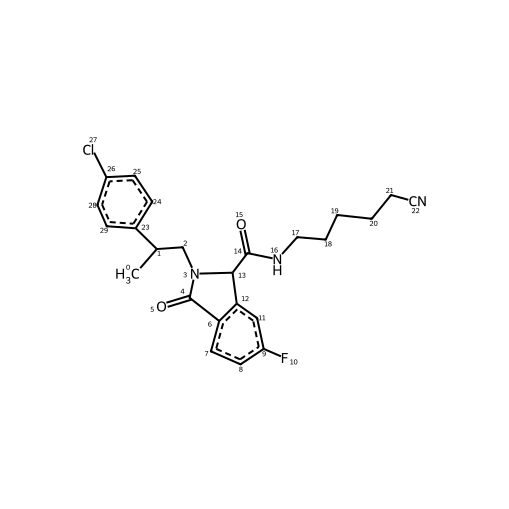 CC(CN1C(=O)c2ccc(F)cc2C1C(=O)NCCCCCC#N)c1ccc(Cl)cc1